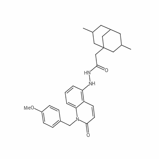 COc1ccc(Cn2c(=O)ccc3c(NNC(=O)CC45CC(C)CC(CC(C)C4)C5)cccc32)cc1